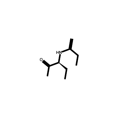 C=C(CC)N[C@@H](CC)C(C)=O